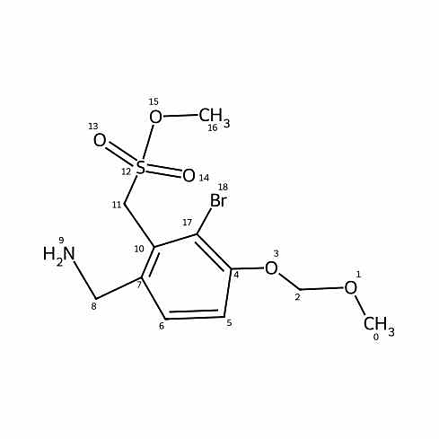 COCOc1ccc(CN)c(CS(=O)(=O)OC)c1Br